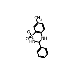 Cc1ccc2c(c1)S(=O)(=O)NC(c1ccccc1)N2